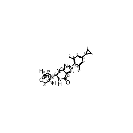 Cc1cc(C2CC2)cc(C)c1-n1cc2c(=O)[nH]c(N3C[C@H]4C[C@@H]3CO4)nc2n1